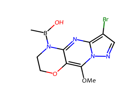 COc1c2c(nc3c(Br)cnn13)N(B(C)O)CCO2